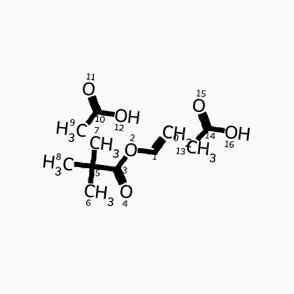 C=COC(=O)C(C)(C)C.CC(=O)O.CC(=O)O